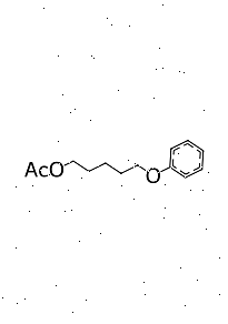 CC(=O)OCCCCCOc1ccccc1